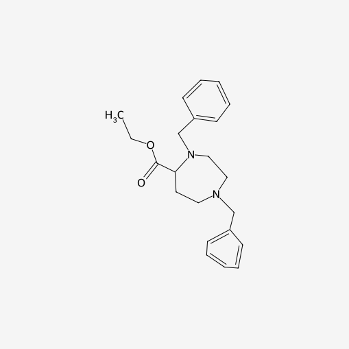 CCOC(=O)C1CCN(Cc2ccccc2)CCN1Cc1ccccc1